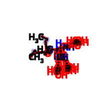 CCCCC/C=C\C/C=C\CCCCCCCCC1(CCCCCCCC/C=C\C/C=C\CCCCC)OC[C@H](CN(C)CCCCCC(=O)NC(COCCC(=O)NCCOCCOCCO[C@@H]2OC(CO)[C@@H](O)C(O)[C@H]2O)(COCCC(=O)NCCOCCOCCO[C@@H]2OC(CO)[C@@H](O)C(O)[C@H]2O)COCCC(=O)NCCOCCOCCO[C@H](O)[C@H](O)C(O)[C@H](O)CCO)O1